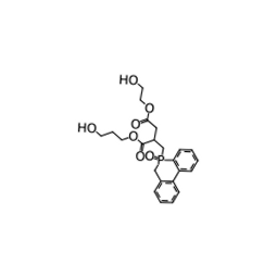 O=C(CC(CP1(=O)Cc2ccccc2-c2ccccc21)C(=O)OCCCO)OCCO